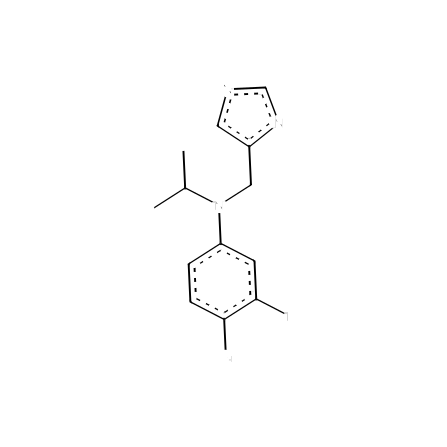 CC(C)N(Cc1cnc[nH]1)c1ccc(Br)c(F)c1